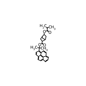 C=C(C)C(=O)OC1CC2CC1CC2C(=O)OC(C)(C)c1ccc2ccc3cccc4ccc1c2c34